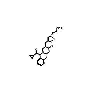 O=C(O)CCn1cc(C=C2CN(C(C(=O)C3CC3)c3ccccc3F)CCC2S)nn1